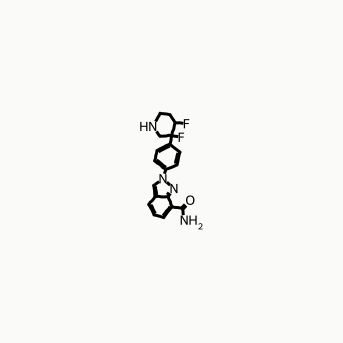 NC(=O)c1cccc2cn(-c3ccc(C4(F)CNCCC4F)cc3)nc12